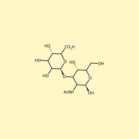 CC(=O)NC1C(O[C@@H]2OC(C(=O)O)[C@@H](O)C(O)C2O)[C@H](O)C(CO)O[C@H]1O